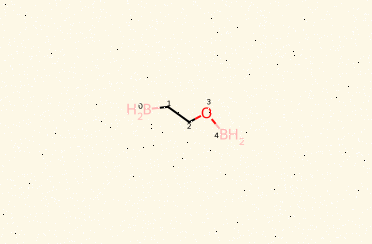 BCCOB